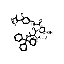 Cc1ncsc1-c1ccc(CNC(=O)[C@@H]2C[C@@H](O)CN2C(=O)[C@@H](NC(=O)O)C(C)(C)SC(c2ccccc2)(c2ccccc2)c2ccccc2)cc1F